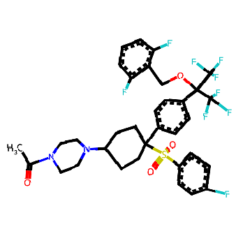 CC(=O)N1CCN(C2CCC(c3ccc(C(OCc4c(F)cccc4F)(C(F)(F)F)C(F)(F)F)cc3)(S(=O)(=O)c3ccc(F)cc3)CC2)CC1